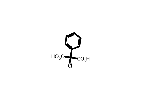 O=C(O)C(Cl)(C(=O)O)c1ccccc1